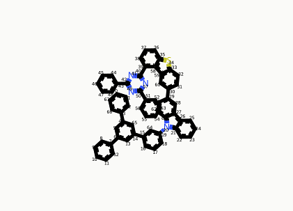 c1ccc(-c2cc(-c3ccccc3)cc(-c3cccc(-n4c5ccccc5c5cc(-c6ccc7sc8cccc(-c9nc(-c%10ccccc%10)nc(-c%10ccccc%10)n9)c8c7c6)ccc54)c3)c2)cc1